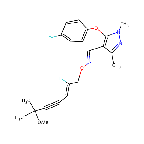 COC(C)(C)C#CC=C(F)CON=Cc1c(C)nn(C)c1Oc1ccc(F)cc1